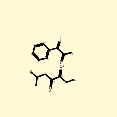 CC(=O)C(=O)c1ccccc1.CCC(=O)C(=O)CC(C)C